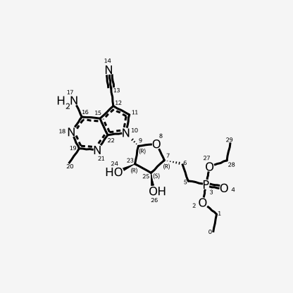 CCOP(=O)(CC[C@H]1O[C@@H](n2cc(C#N)c3c(N)nc(C)nc32)[C@H](O)[C@@H]1O)OCC